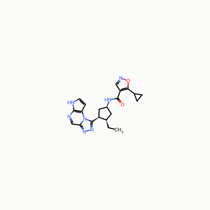 CC[C@@H]1C[C@H](NC(=O)c2cnoc2C2CC2)C[C@@H]1c1nnc2cnc3[nH]ccc3n12